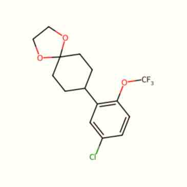 FC(F)(F)Oc1ccc(Cl)cc1C1CCC2(CC1)OCCO2